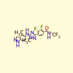 Cc1c(Nc2nc(-c3ccc(C(=O)NCC(F)(F)F)c(F)c3F)nn2C)ccc2[nH]ncc12